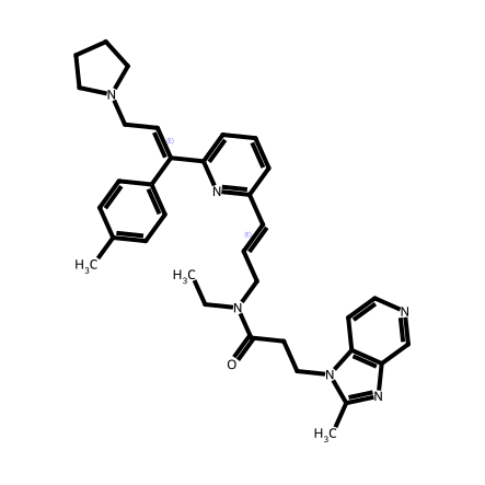 CCN(C/C=C/c1cccc(/C(=C/CN2CCCC2)c2ccc(C)cc2)n1)C(=O)CCn1c(C)nc2cnccc21